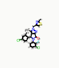 Cc1nc(Cn2nc3c(c2C(C)C)C(c2ccc(Cl)cc2C)N(c2cccc(Cl)c2F)C3=O)cs1